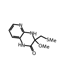 COC1(CSC)Nc2ncccc2NC1=O